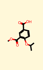 COC(=O)c1cc(C(=O)O)ccc1OC(C)C